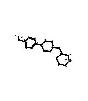 CCc1ccc(C2CCN(CC3CCCNC3)CC2)cc1